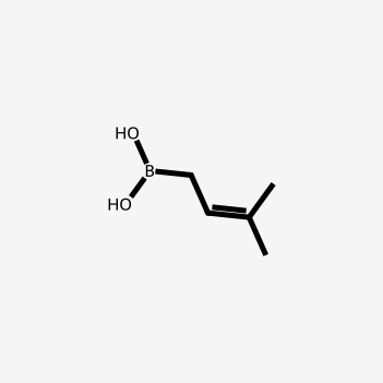 CC(C)=CCB(O)O